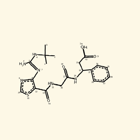 CC(C)(C)N/C(N)=N/c1ncsc1C(=O)NCC(=O)NC(CC(=O)O)c1ccccc1